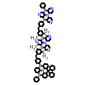 Cc1cc(Cc2ccc(B3c4cnccc4N4c5ccncc5B(c5ccccc5)c5cncc3c54)cc2)cc(C)c1B1c2cnccc2N2c3ccncc3B(c3c(C)cc(Cc4ccc(B5c6cccc7c6N6c8c(cccc8C(c8ccccc8)(c8ccccc8)c8cccc5c86)B7c5ccccc5)cc4)cc3C)c3cncc1c32